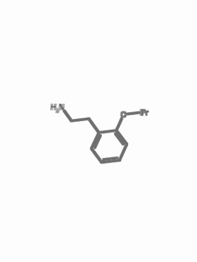 CC(C)Oc1ccccc1CCN